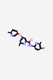 Cc1ccc(Oc2cc(C)nc(C(=O)Nc3ccc(F)c(C)n3)c2)cn1